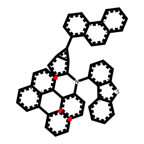 c1ccc(-c2cccc3cccc(-c4ccccc4N(c4ccc5c(-c6cccc7c6ccc6ccccc67)c4-5)c4cccc5sc6ccccc6c45)c23)cc1